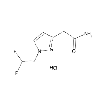 Cl.NC(=O)Cc1ccn(CC(F)F)n1